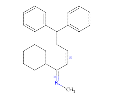 C/N=C(\C=C/CC(c1ccccc1)c1ccccc1)C1CCCCC1